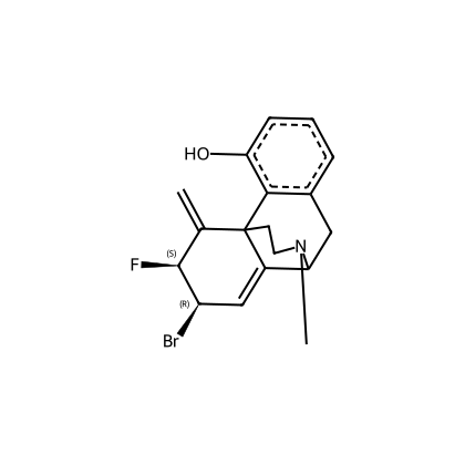 C=C1[C@H](F)[C@H](Br)C=C2C3Cc4cccc(O)c4C12CCN3C